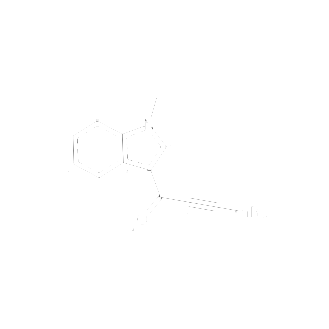 CCCCC#CC(=O)c1cn(C)c2ccccc12